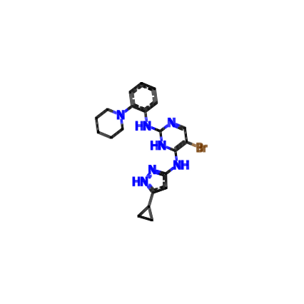 BrC1=C(Nc2cc(C3CC3)[nH]n2)NC(Nc2ccccc2N2CCCCC2)N=C1